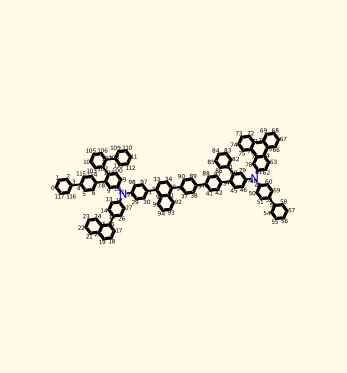 c1ccc(-c2ccc(-c3cc(N(c4ccc(-c5cccc6ccccc56)cc4)c4ccc(-c5ccc(-c6ccc(-c7ccc(-c8ccc(N(c9ccc(-c%10ccccc%10)cc9)c9ccc%10c%11ccccc%11c%11ccccc%11c%10c9)cc8-c8ccccc8)cc7)cc6)c6ccccc56)cc4)ccc3-c3ccccc3-c3ccccc3)cc2)cc1